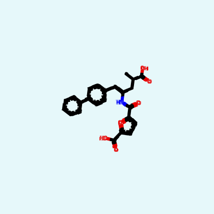 CC(CC(Cc1ccc(-c2ccccc2)cc1)NC(=O)c1ccc(C(=O)O)o1)C(=O)O